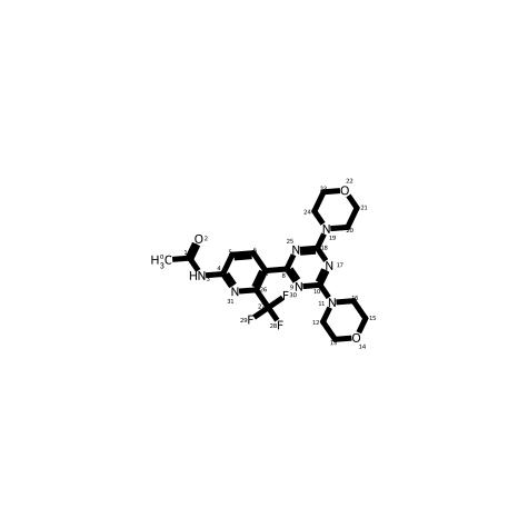 CC(=O)Nc1ccc(-c2nc(N3CCOCC3)nc(N3CCOCC3)n2)c(C(F)(F)F)n1